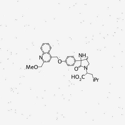 COCc1cc(COc2ccc(C3(N)CCN(C(CC(C)C)C(=O)O)C3=O)cc2)c2ccccc2n1